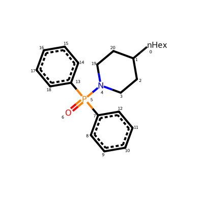 CCCCCCC1CCN(P(=O)(c2ccccc2)c2ccccc2)CC1